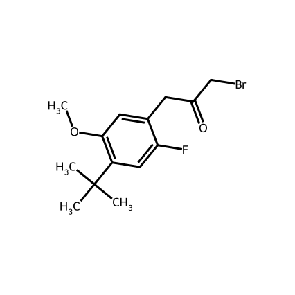 COc1cc(CC(=O)CBr)c(F)cc1C(C)(C)C